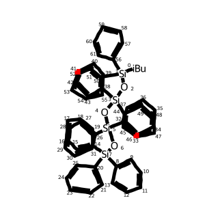 [CH2]CC(C)[Si](O[Si](O[Si](O[Si](c1ccccc1)(c1ccccc1)c1ccccc1)(c1ccccc1)c1ccccc1)(c1ccccc1)c1ccccc1)(c1ccccc1)c1ccccc1